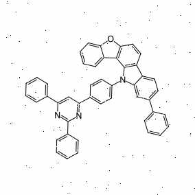 c1ccc(-c2ccc3c4ccc5oc6ccccc6c5c4n(-c4ccc(-c5cc(-c6ccccc6)nc(-c6ccccc6)n5)cc4)c3c2)cc1